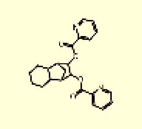 O=C(OC1C2CC(C3CCCCC32)C1OC(=O)c1ccccn1)c1ccccn1